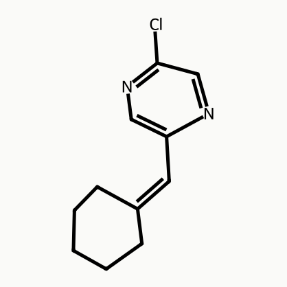 Clc1cnc(C=C2CCCCC2)cn1